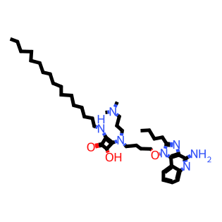 CCCCCCCCCCCCCCCCCNC1=C(N(CCCCOn2c(CCCC)nc3c(N)nc4ccccc4c32)CCCN(C)C)C(O)C1=O